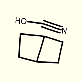 C1CC2CCC12.N#CO